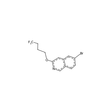 FC(F)(F)CCCOc1cc2cc(Br)ccc2cn1